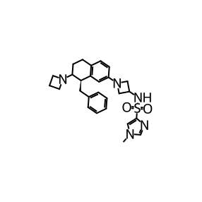 Cn1cnc(S(=O)(=O)NC2CN(c3ccc4c(c3)[C@@H](Cc3ccccc3)C(N3CCC3)CC4)C2)c1